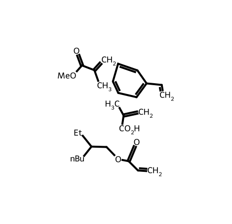 C=C(C)C(=O)O.C=C(C)C(=O)OC.C=CC(=O)OCC(CC)CCCC.C=Cc1ccccc1